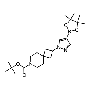 CC(C)(C)OC(=O)N1CCC2(CC1)CC(n1cc(B3OC(C)(C)C(C)(C)O3)cn1)C2